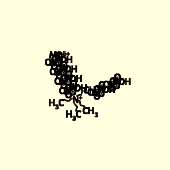 CCCC[N+](CCCC)(CCCC)CCCC.O=[Si]([O-])[O][W](=[O])(=[O])[OH].O=[Si]([O-])[O][W](=[O])(=[O])[OH].O=[Si]([O-])[O][W](=[O])(=[O])[OH].O=[Si]([O-])[O][W](=[O])(=[O])[OH].O=[Si]([O-])[O][W](=[O])(=[O])[OH].O=[Si]([O-])[O][W](=[O])(=[O])[OH].[Mo+6]